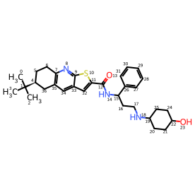 CC(C)(C)[C@H]1CCc2nc3sc(C(=O)NC(CCNC4CCC(O)CC4)c4ccccc4)cc3cc2C1